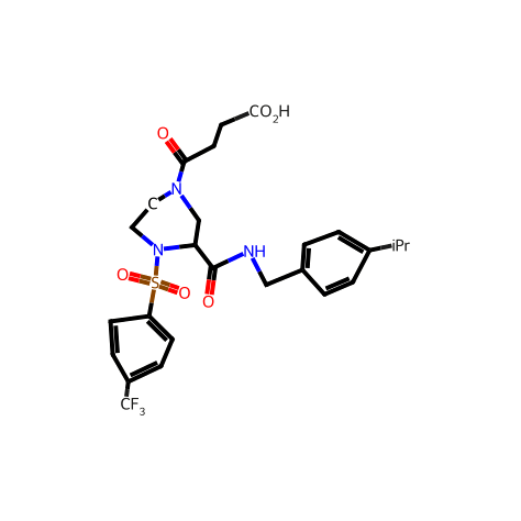 CC(C)c1ccc(CNC(=O)C2CN(C(=O)CCC(=O)O)CCN2S(=O)(=O)c2ccc(C(F)(F)F)cc2)cc1